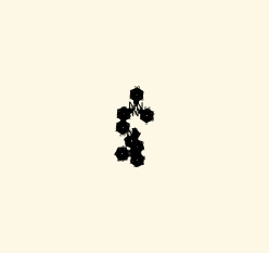 c1ccc(-c2nc(-c3ccccc3)nc(-c3cccc(-c4cccc(-n5ccc6c7ccc8c9ccccc9n(-c9ccccc9)c8c7ccc65)c4)c3)n2)cc1